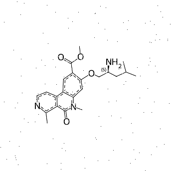 COC(=O)c1cc2c3ccnc(C)c3c(=O)n(C)c2cc1OC[C@@H](N)CC(C)C